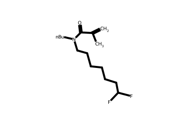 C=C(C)C(=O)N(CCCC)CCCCCCC(F)F